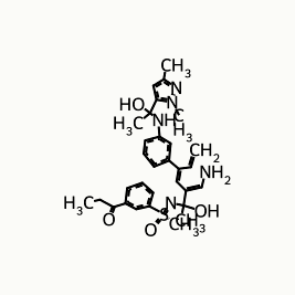 C=C/C(=C\C(=C/N)C(C)(O)N=S(C)(=O)c1cccc(C(=O)CC)c1)c1cccc(NC(C)(O)c2cc(C)nn2C)c1